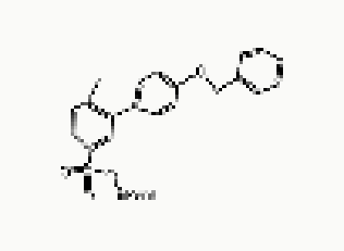 CCCCCOS(=O)(=O)c1ccc(C)c(-c2ccc(OCc3ccccc3)cc2)c1